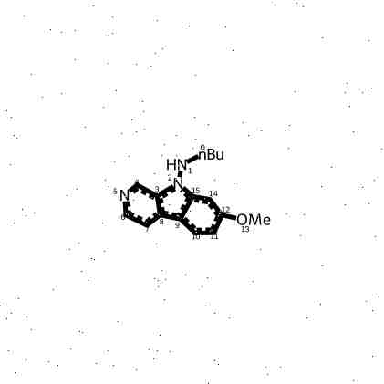 CCCCNn1c2cnccc2c2ccc(OC)cc21